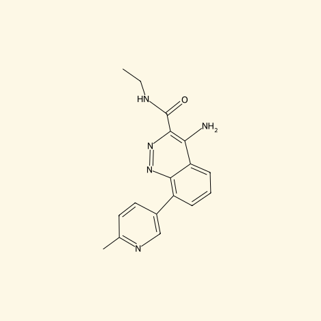 CCNC(=O)c1nnc2c(-c3ccc(C)nc3)cccc2c1N